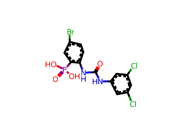 O=C(Nc1cc(Cl)cc(Cl)c1)Nc1ccc(Br)cc1P(=O)(O)O